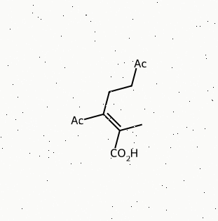 CC(=O)CC/C(C(C)=O)=C(\C)C(=O)O